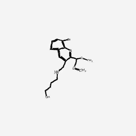 COC(OC)c1nc2c(Br)cccc2cc1CNCCCCO